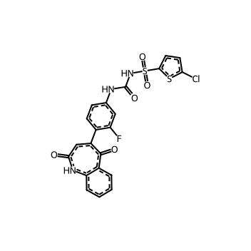 O=C(Nc1ccc(-c2cc(=O)[nH]c3ccccc3c2=O)c(F)c1)NS(=O)(=O)c1ccc(Cl)s1